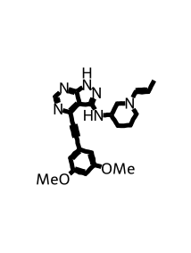 CC=CN1CCCC(Nc2n[nH]c3ncnc(C#Cc4cc(OC)cc(OC)c4)c23)C1